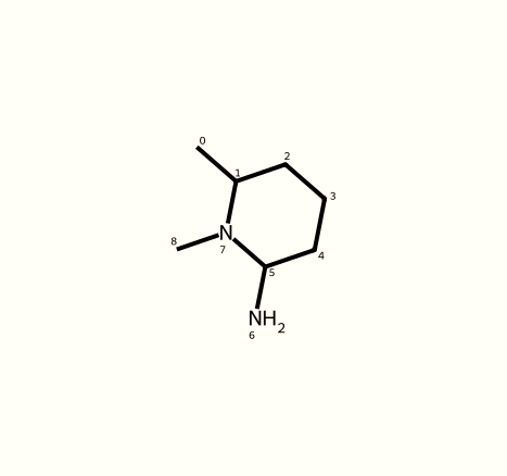 CC1CCCC(N)N1C